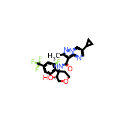 Cc1nn2cc(C3CC3)cnc2c1C(=O)N[C@]1(c2ccc(C(F)(F)F)cc2F)CCOC[C@H]1O